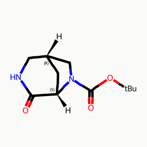 CC(C)(C)OC(=O)N1C[C@H]2CNC(=O)[C@@H]1C2